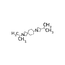 CC(C)C1CN(C2CCC3(CC2)CN(C(C)C)C3)C1